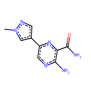 Cn1cc(-c2cnc(N)c(C(N)=O)n2)cn1